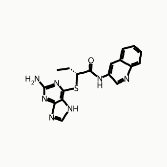 CC[C@@H](Sc1nc(N)nc2nc[nH]c12)C(=O)Nc1cnc2ccccc2c1